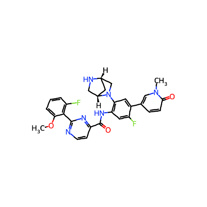 COc1cccc(F)c1-c1nccc(C(=O)Nc2cc(F)c(-c3ccc(=O)n(C)c3)cc2N2C[C@@H]3C[C@H]2CN3)n1